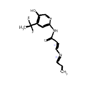 CC/C=N/C=C/C(=O)Nc1cc(C(C)(F)F)c(O)cn1